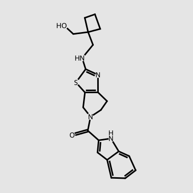 O=C(c1cc2ccccc2[nH]1)N1CCc2nc(NCC3(CO)CCC3)sc2C1